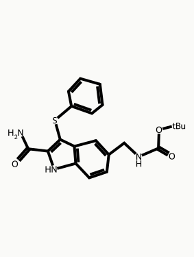 CC(C)(C)OC(=O)NCc1ccc2[nH]c(C(N)=O)c(Sc3ccccc3)c2c1